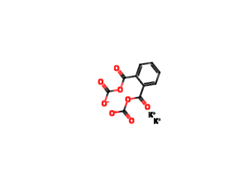 O=C([O-])OC(=O)c1ccccc1C(=O)OC(=O)[O-].[K+].[K+]